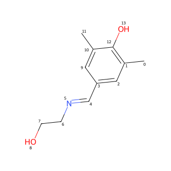 Cc1cc(C=NCCO)cc(C)c1O